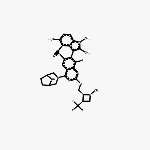 Cc1c(-c2c(Cl)cc3c(N4CC5CCC(C4)N5)nc(OC[C@@H]4[C@H](C(F)(F)F)CN4C)nc3c2F)c2c(C#N)c(N)ccc2n1C